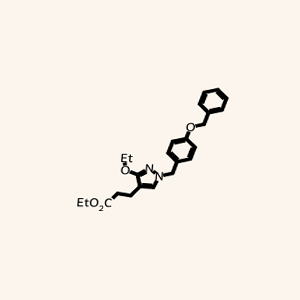 CCOC(=O)CCc1cn(Cc2ccc(OCc3ccccc3)cc2)nc1OCC